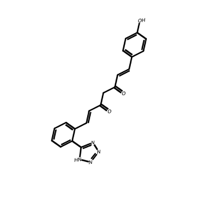 O=C(C=Cc1ccc(O)cc1)CC(=O)C=Cc1ccccc1-c1nnn[nH]1